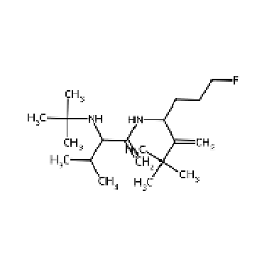 C=C(NC(CCCF)C(=C)C(C)(C)C)C(NC(C)(C)C)C(C)C